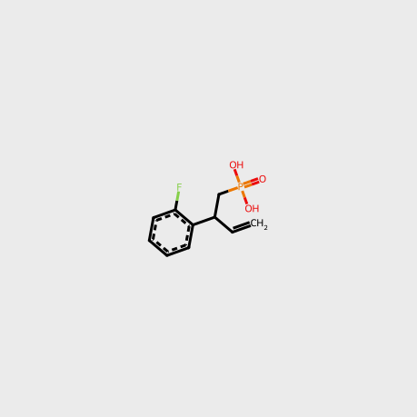 C=CC(CP(=O)(O)O)c1ccccc1F